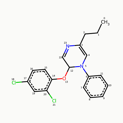 CCCC1=CN(c2ccccc2)C(Oc2ccc(Cl)cc2Cl)C=N1